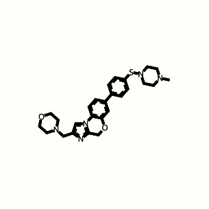 CN1CCN(Sc2ccc(-c3ccc4c(c3)OCc3nc(CN5CCOCC5)cn3-4)cc2)CC1